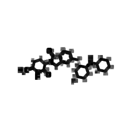 C=C1CCC(N2Cc3cc(C[C@H]4C[C@@H](F)CC[C@@H]4NC4CCCCC4)ccc3C2=O)C(=O)N1